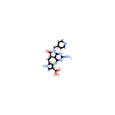 Nc1nc(Cl)c2c(n1)N(Cc1ccncc1)C(=O)/C2=C/c1cc(C(=O)O)c[nH]1